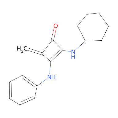 C=C1C(=O)C(NC2CCCCC2)=C1Nc1ccccc1